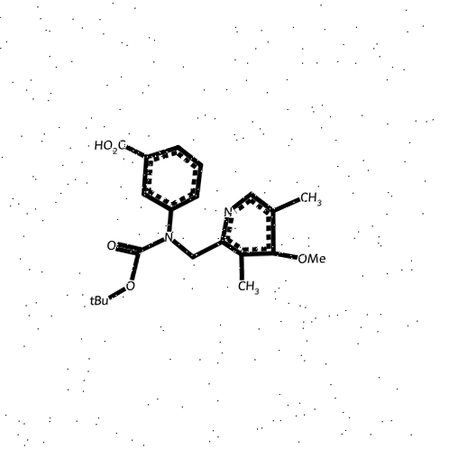 COc1c(C)cnc(CN(C(=O)OC(C)(C)C)c2cccc(C(=O)O)c2)c1C